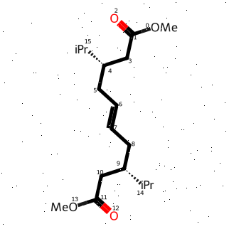 COC(=O)C[C@H](C/C=C/C[C@@H](CC(=O)OC)C(C)C)C(C)C